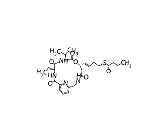 C/C=C1\NC(=O)c2cccc(n2)CNC(=O)C[C@@H](/C=C/CCSC(=O)CCC)OC(=O)[C@H](C(C)C)NC1=O